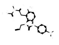 C=CCn1c(=O)n(-c2ccc(N(CC)CC)cc2)c2ccc([N+](=O)[O-])c(CC(=O)N(C)C(N)=O)c21